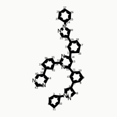 c1ccc(-n2cc(-c3cccc(-c4cc(-c5cccc(-c6cnn(-c7ccccc7)c6)c5)nc(-c5cccc(-c6cncnc6)c5)n4)c3)cn2)cc1